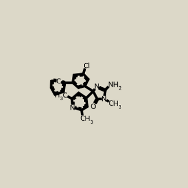 Cc1cc(C2(c3cc(Cl)cc(-c4ccccc4)c3)N=C(N)N(C)C2=O)cc(C)n1